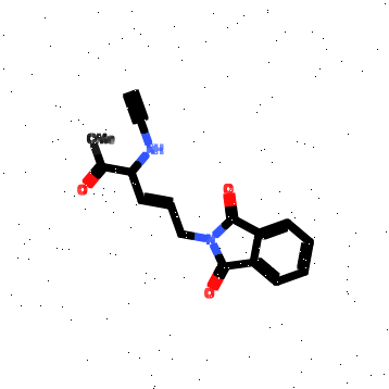 C#CNC(C=CCN1C(=O)c2ccccc2C1=O)C(=O)OC